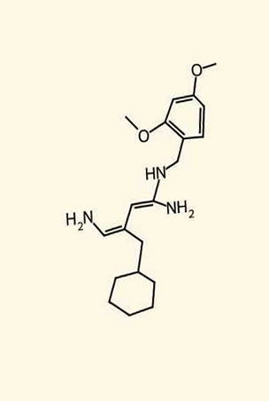 COc1ccc(CN/C(N)=C/C(=C\N)CC2CCCCC2)c(OC)c1